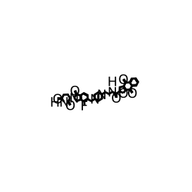 O=C1CCC(N2Cc3c(ccc(CN4CCN(CCNC(=O)C5CC6=C(O5)C(=O)c5ccccc5C6=O)CC4)c3F)C2=O)C(=O)N1